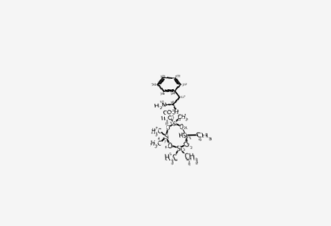 C[SiH]1O[Si](C)(C)O[Si](C)(C)O[Si](C)(C)O1.N[C@@H](Cc1ccccc1)C(=O)O